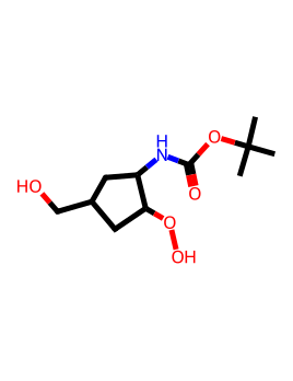 CC(C)(C)OC(=O)NC1CC(CO)CC1OO